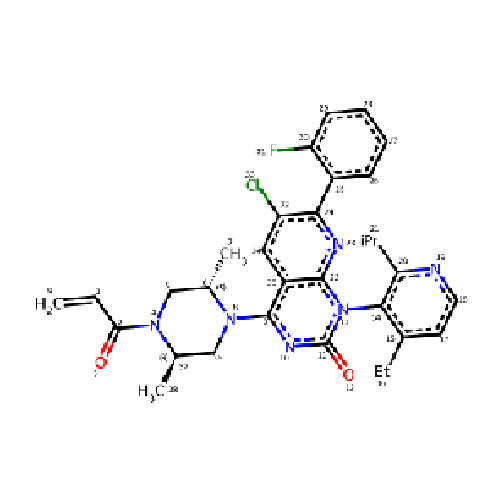 C=CC(=O)N1C[C@H](C)N(c2nc(=O)n(-c3c(CC)ccnc3C(C)C)c3nc(-c4ccccc4F)c(Cl)cc23)C[C@H]1C